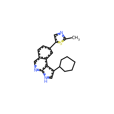 Cc1ncc(-c2ccc3cnc4[nH]cc(C5CCCCC5)c4c3c2)s1